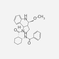 COC[C@@H]1Nc2ccccc2[C@H]2C1CCN2C(=O)[C@H]1CCCC[C@H]1NC(=O)c1ccccc1